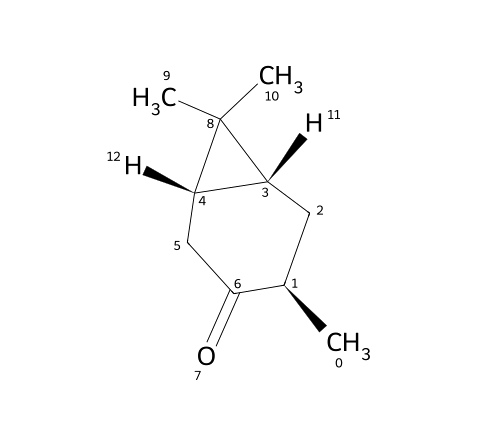 C[C@@H]1C[C@@H]2[C@H](CC1=O)C2(C)C